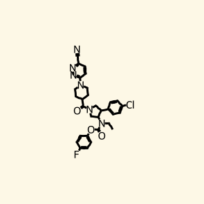 CCN(C(=O)Oc1ccc(F)cc1)C1CN(C(=O)C2CCN(c3ccc(C#N)nn3)CC2)CC1c1ccc(Cl)cc1